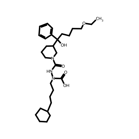 CCOCCCCC(O)(c1ccccc1)C1CCCN(C(=O)NN(CCCCC2CCCCC2)C(=O)O)C1